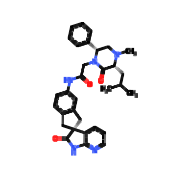 CC(C)C[C@@H]1C(=O)N(CC(=O)Nc2ccc3c(c2)C[C@@]2(C3)C(=O)Nc3ncccc32)[C@H](c2ccccc2)CN1C